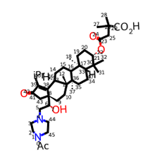 CC(=O)N1CCN(C[C@@H](O)[C@@]23CC[C@]4(C)[C@H](CCC5[C@@]6(C)CC[C@H](OC(=O)CC(C)(C)C(=O)O)C(C)(C)[C@@H]6CC[C@]54C)C2=C(C(C)C)C(=O)C3)CC1